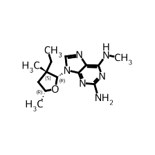 CC[C@@]1(C)C[C@@H](C)O[C@H]1n1cnc2c(NC)nc(N)nc21